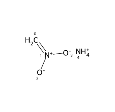 C=[N+]([O-])[O-].[NH4+]